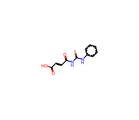 O=C(O)C=CC(=O)NC(=S)Nc1ccccc1